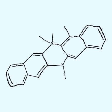 Cc1c2c(cc3ccccc13)N(C)c1cc3ccccc3cc1[Si]2(C)C